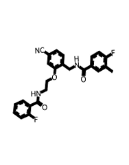 Cc1cc(C(=O)NCc2ccc(C#N)cc2OCCNC(=O)c2ccccc2F)ccc1F